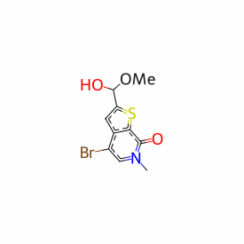 COC(O)c1cc2c(Br)cn(C)c(=O)c2s1